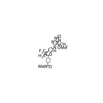 CNC(=O)C1CCC(C(=O)N(C)[C@H](c2ccc(Nc3cnc4nc(Cl)nn4c3[C@H](C)OC)cc2)C(F)(F)F)CC1